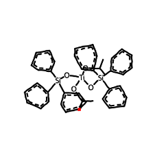 CC(C)[O][Ti]([O]C(C)C)([O][Si](c1ccccc1)(c1ccccc1)c1ccccc1)[O][Si](c1ccccc1)(c1ccccc1)c1ccccc1